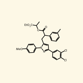 CCOC(=O)C(C)OC(=O)C(Cc1cc(-c2ccc(Cl)c(Cl)c2)nn1-c1ccc(OC)cc1)c1cccc(C)c1